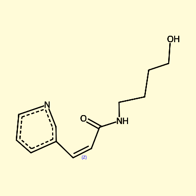 O=C(/C=C\c1cccnc1)NCCCCO